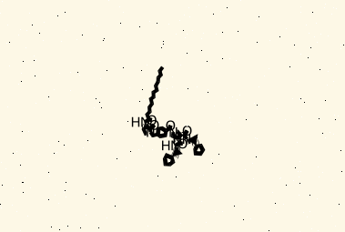 CCCCCCCCCCCCCCC(=O)N[C@@H]1CCN(Cc2ccc(C(=O)N3C[C@@H](C(=O)N[C@H]4C[C@@H]4c4ccccc4)[C@H](C(=O)N[C@H]4C[C@@H]4c4ccccc4)C3)cc2)C1=O